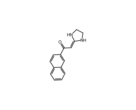 O=C(C=C1NCCN1)c1ccc2ccccc2c1